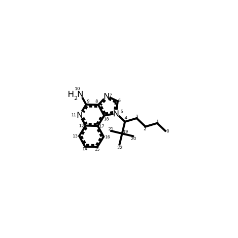 CCCCC(n1cnc2c(N)nc3ccccc3c21)C(C)(C)C